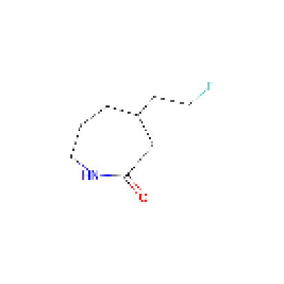 O=C1CC(CCF)CCCN1